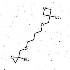 CCC1(COCCCCOCC2(CC)CO2)COC1